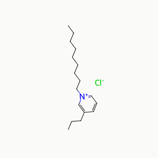 CCCCCCCCC[n+]1cccc(CCC)c1.[Cl-]